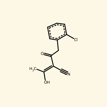 C/C(O)=C(/C#N)C(=O)Cc1ccccc1Cl